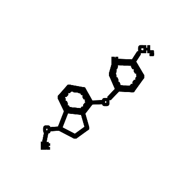 CCOC1CCc2c(Oc3ccc(C)nc3)cccc21